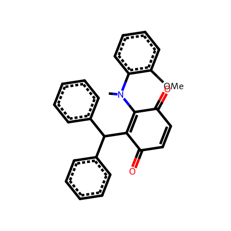 COc1ccccc1N(C)C1=C(C(c2ccccc2)c2ccccc2)C(=O)C=CC1=O